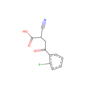 N#CC(CC(=O)c1ccccc1F)C(=O)O